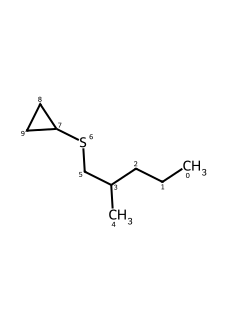 CCCC(C)CSC1CC1